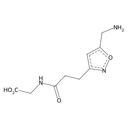 NCc1cc(CCC(=O)NCC(=O)O)no1